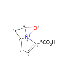 O=C(O)C1=CCC2CC3O[N+]123